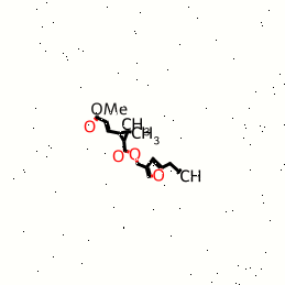 C#CCc1cc(COC(=O)C2C(/C=C/C(=O)OC)C2(C)C)co1